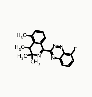 Cc1cccc2c1C(C)C(C)(C)N=C2c1nnc2c(F)cccc2n1